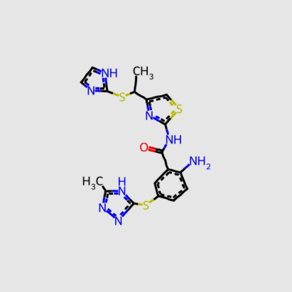 Cc1nnc(Sc2ccc(N)c(C(=O)Nc3nc(C(C)Sc4ncc[nH]4)cs3)c2)[nH]1